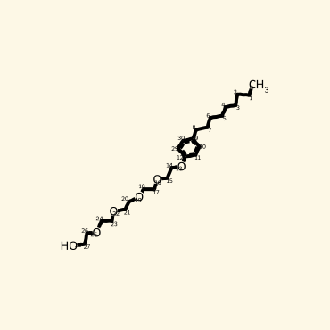 CCCCCCCCCc1ccc(OCCOCCOCCOCCOCCO)cc1